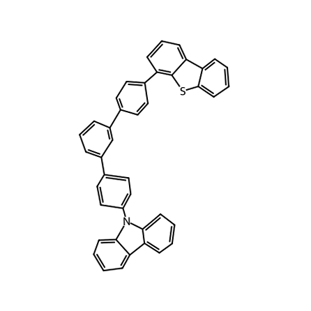 c1cc(-c2ccc(-c3cccc4c3sc3ccccc34)cc2)cc(-c2ccc(-n3c4ccccc4c4ccccc43)cc2)c1